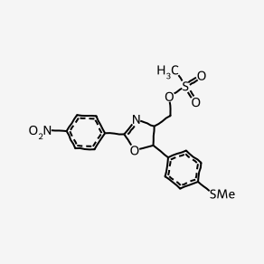 CSc1ccc(C2OC(c3ccc([N+](=O)[O-])cc3)=NC2COS(C)(=O)=O)cc1